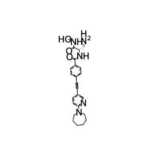 NC[C@H](NC(=O)c1ccc(C#Cc2ccc(N3CCCCCC3)nc2)cc1)C(=O)NO